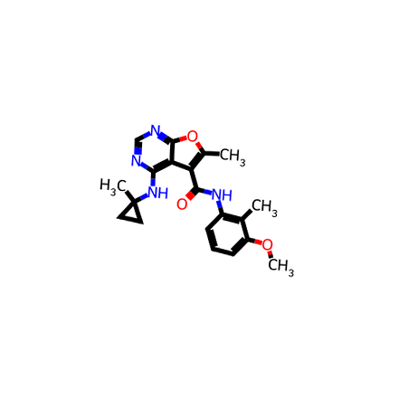 COc1cccc(NC(=O)c2c(C)oc3ncnc(NC4(C)CC4)c23)c1C